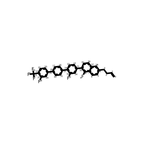 C=CCCc1ccc2c(F)c(-c3ccc(-c4ccc(-c5ccc(C(F)(F)F)c(F)c5)cc4)c(F)c3)ccc2c1